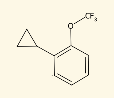 FC(F)(F)Oc1ccc[c]c1C1CC1